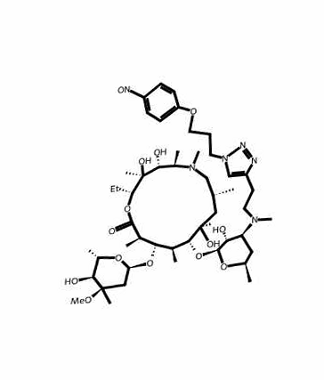 CC[C@H]1OC(=O)[C@H](C)[C@@H](O[C@H]2C[C@@](C)(OC)[C@@H](O)[C@H](C)O2)[C@H](C)[C@@H](O[C@@H]2O[C@H](C)C[C@H](N(C)CCc3cn(CCCOc4ccc(N=O)cc4)nn3)[C@H]2O)[C@](C)(O)C[C@@H](C)CN(C)[C@H](C)[C@@H](O)[C@]1(C)O